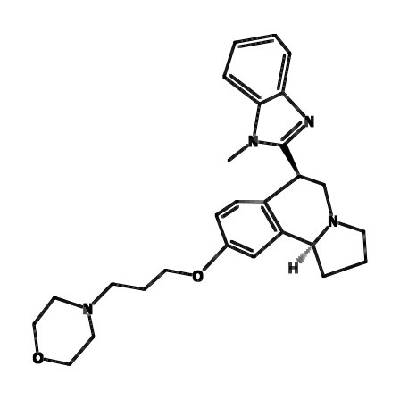 Cn1c([C@H]2CN3CCC[C@H]3c3cc(OCCCN4CCOCC4)ccc32)nc2ccccc21